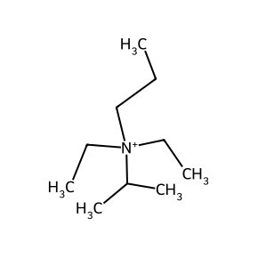 CCC[N+](CC)(CC)C(C)C